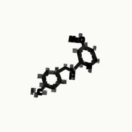 COc1ccnc(NCc2ccc(C(F)(F)F)cc2)c1